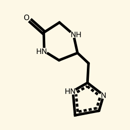 O=C1CNC(Cc2ncc[nH]2)CN1